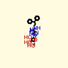 OC[C@H]1O[C@@H](n2cnc3c(NCCC(c4ccccc4)c4ccccc4)ncnc32)C(O)C1O